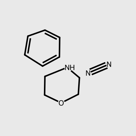 C1COCCN1.N#N.c1ccccc1